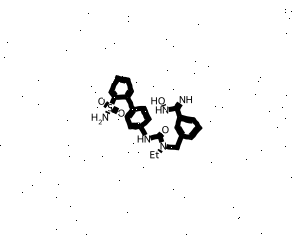 CCN(Cc1cccc(C(=N)NO)c1)C(=O)Nc1ccc(-c2ccccc2S(N)(=O)=O)cc1